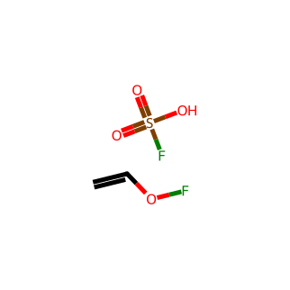 C=COF.O=S(=O)(O)F